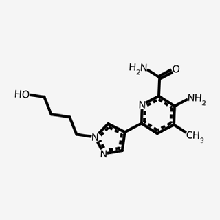 Cc1cc(-c2cnn(CCCCO)c2)nc(C(N)=O)c1N